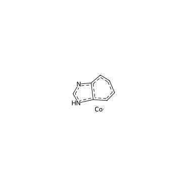 [Co].c1ccc2[nH]cnc2c1